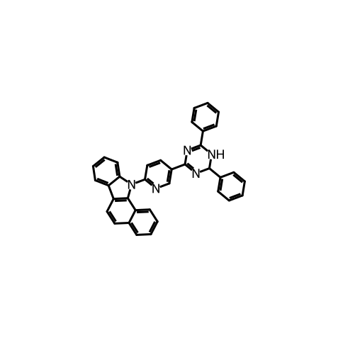 c1ccc(C2=NC(c3ccc(-n4c5ccccc5c5ccc6ccccc6c54)nc3)=NC(c3ccccc3)N2)cc1